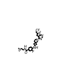 CN(C)CCNC(=O)c1ccc(NC2CC3(CCN(c4ncnc5sc(CC(F)(F)F)cc45)C3)C2)c(F)c1